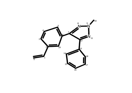 C=Cc1cccc(-c2nn(C)nc2-c2ccccc2)c1